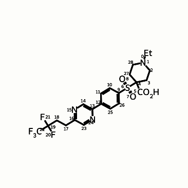 CCN1CCC(C(=O)O)(S(=O)(=O)c2ccc(-c3cnc(CCC(F)(F)C(F)(F)F)cn3)cc2)CC1